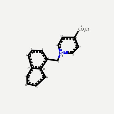 CCOC(=O)c1cc[n+](Cc2cccc3ccccc23)cc1